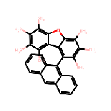 Bc1c(B)c(B)c2c(oc3c(B)c(B)c(B)c(-c4c5ccccc5cc5ccccc45)c32)c1B